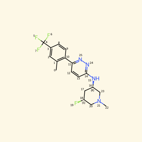 Cc1cc(C(F)(F)F)ccc1-c1ccc(N[C@@H]2C[C@H](F)CN(C)C2)nn1